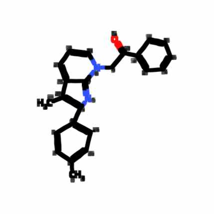 Cc1ccc(-c2nc3n(CC(=O)c4ccccc4)cccc-3c2C)cc1